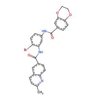 Cc1ccc2cc(C(=O)Nc3cc(NC(=O)c4ccc5c(c4)OCCO5)ccc3Br)ccc2n1